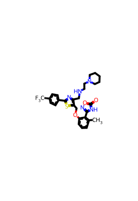 Cc1cccc(OCc2sc(-c3ccc(C(F)(F)F)cc3)nc2CNCCN2CCCCC2)c1-c1noc(=O)[nH]1